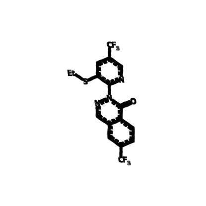 CCSc1cc(C(F)(F)F)cnc1-n1ncc2cc(C(F)(F)F)ccc2c1=O